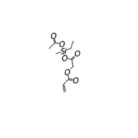 C=CC(=O)OCC(=O)O[Si](C)(CC)OC(C)=O